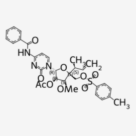 C=C[C@H](C)[C@@]1(COS(=O)(=O)c2ccc(C)cc2)O[C@@H](n2ccc(NC(=O)c3ccccc3)nc2=O)[C@H](OC(C)=O)[C@@H]1OC